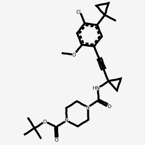 COc1cc(Cl)c(C2(C)CC2)cc1C#CC1(NC(=O)N2CCN(C(=O)OC(C)(C)C)CC2)CC1